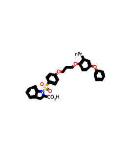 CCCc1cc(Oc2ccccc2)ccc1OCCCOc1ccc(S(=O)(=O)N2c3ccccc3CC2C(=O)O)cc1